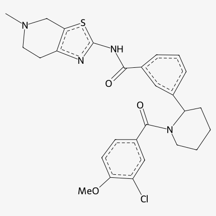 COc1ccc(C(=O)N2CCCCC2c2cccc(C(=O)Nc3nc4c(s3)CN(C)CC4)c2)cc1Cl